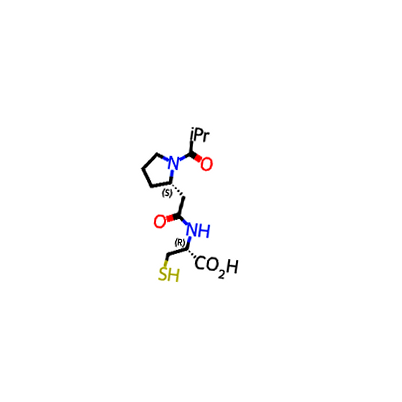 CC(C)C(=O)N1CCC[C@H]1CC(=O)N[C@@H](CS)C(=O)O